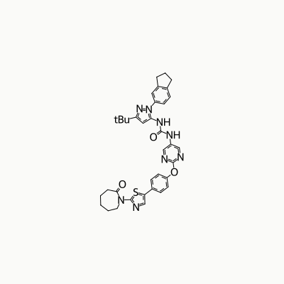 CC(C)(C)c1cc(NC(=O)Nc2cnc(Oc3ccc(-c4cnc(N5CCCCCC5=O)s4)cc3)nc2)n(-c2ccc3c(c2)CCC3)n1